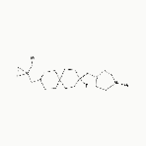 CC(C)CC1(CN2CCC3(CC2)CCC(F)(CN2CCN(C(C)C)CC2)CC3)CC1